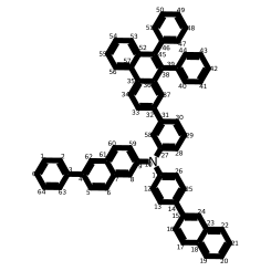 c1ccc(-c2ccc3cc(N(c4ccc(-c5ccc6ccccc6c5)cc4)c4cccc(-c5ccc6c(c5)c(-c5ccccc5)c(-c5ccccc5)c5ccccc56)c4)ccc3c2)cc1